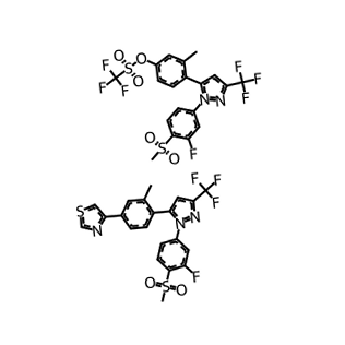 Cc1cc(-c2cscn2)ccc1-c1cc(C(F)(F)F)nn1-c1ccc(S(C)(=O)=O)c(F)c1.Cc1cc(OS(=O)(=O)C(F)(F)F)ccc1-c1cc(C(F)(F)F)nn1-c1ccc(S(C)(=O)=O)c(F)c1